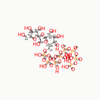 O=P(O)(O)OP(=O)(O)OP(=O)(O)OP(=O)(O)OP(=O)(O)OP(=O)(O)OP(=O)(O)OP(=O)(O)OC[C@H]1O[C@H](O[C@]2(CO)O[C@H](CO)[C@@H](O)[C@@H]2O)[C@H](O)[C@@H](O)[C@@H]1O